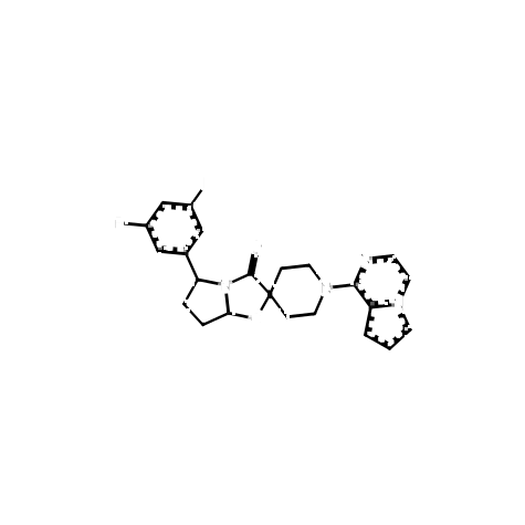 O=C1N2C(CCC2c2cc(F)cc(F)c2)OC12CCN(c1nccn3cccc13)CC2